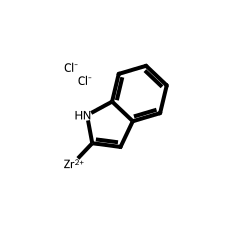 [Cl-].[Cl-].[Zr+2][c]1cc2ccccc2[nH]1